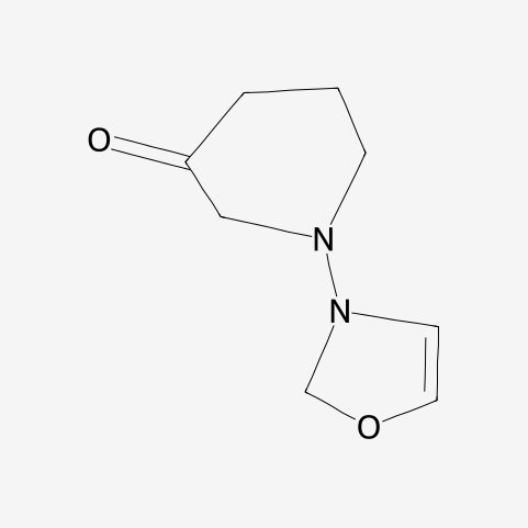 O=C1CCCN(N2C=COC2)C1